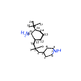 CC(C)(CC1CCNCC1)CC1CCC[C@H](C(C)(C)C)[C@H]1N